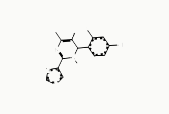 CCN1C(c2cscn2)=NC(C)=C(C(=O)O)C1c1ccc(Cl)cc1Cl